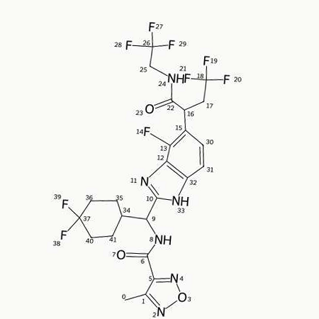 Cc1nonc1C(=O)NC(c1nc2c(F)c(C(CC(F)(F)F)C(=O)NCC(F)(F)F)ccc2[nH]1)C1CCC(F)(F)CC1